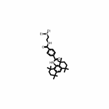 CCN(CC)CCNC(=O)c1ccc(C(=O)Nc2c3c(cc4c2C(C)(C)CCC4(C)C)C(C)(C)CCC3(C)C)cc1